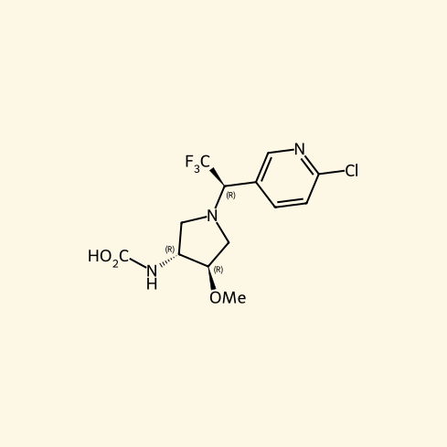 CO[C@@H]1CN([C@H](c2ccc(Cl)nc2)C(F)(F)F)C[C@H]1NC(=O)O